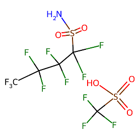 NS(=O)(=O)C(F)(F)C(F)(F)C(F)(F)C(F)(F)F.O=S(=O)(O)C(F)(F)F